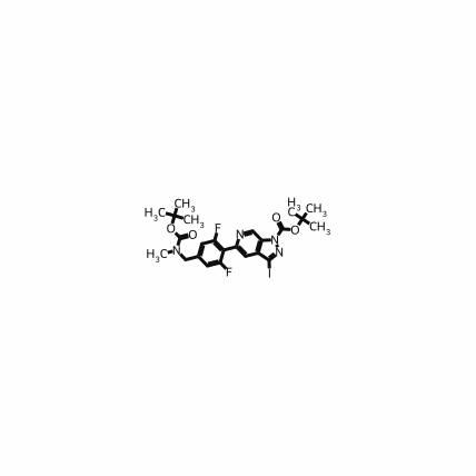 CN(Cc1cc(F)c(-c2cc3c(I)nn(C(=O)OC(C)(C)C)c3cn2)c(F)c1)C(=O)OC(C)(C)C